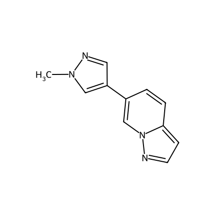 Cn1cc(-c2ccc3ccnn3c2)cn1